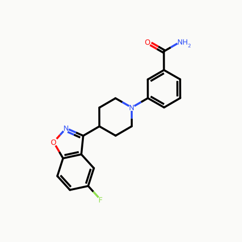 NC(=O)c1cccc(N2CCC(c3noc4ccc(F)cc34)CC2)c1